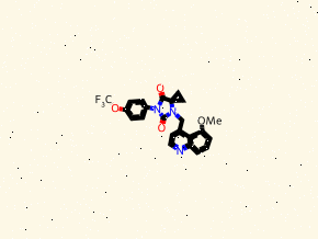 COc1cccc2nccc(CN3C(=O)N(c4ccc(OC(F)(F)F)cc4)C(=O)C34CC4)c12